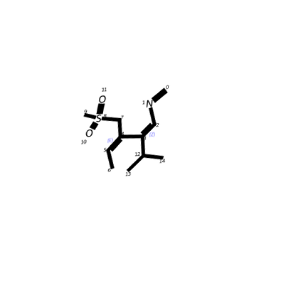 C=N/C=C(\C(=C/C)CS(C)(=O)=O)C(C)C